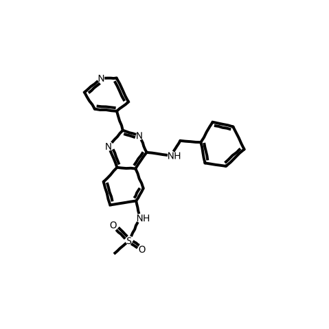 CS(=O)(=O)Nc1ccc2nc(-c3ccncc3)nc(NCc3ccccc3)c2c1